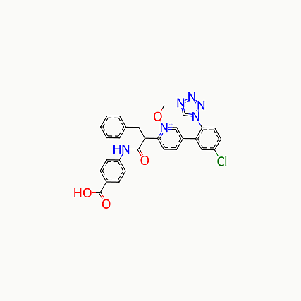 CO[n+]1cc(-c2cc(Cl)ccc2-n2cnnn2)ccc1C(Cc1ccccc1)C(=O)Nc1ccc(C(=O)O)cc1